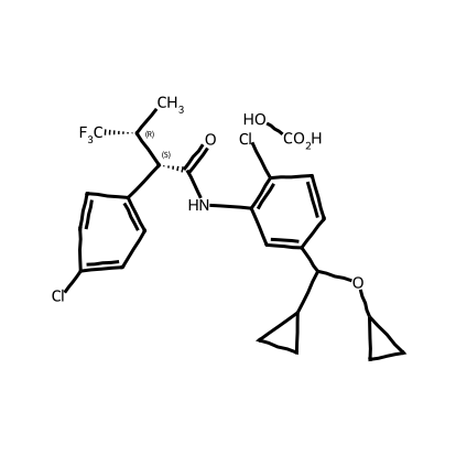 C[C@H]([C@H](C(=O)Nc1cc(C(OC2CC2)C2CC2)ccc1Cl)c1ccc(Cl)cc1)C(F)(F)F.O=C(O)O